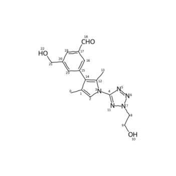 Cc1cn(-c2nnn(CCO)n2)c(C)c1-c1cc(C=O)cc(CO)c1